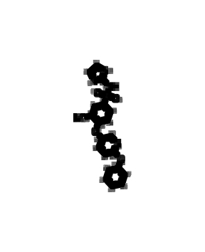 N#Cc1cc(S(=O)(=O)Nc2nccs2)ccc1Oc1ccc(Oc2ccccc2)nc1